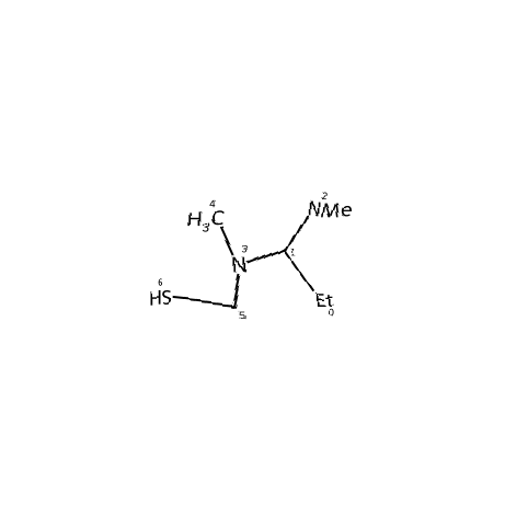 CCC(NC)N(C)CS